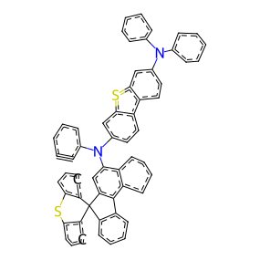 c1cccc(N(c2ccc3c(c2)sc2cc(N(c4ccccc4)c4ccccc4)ccc23)c2cc3c(c4ccccc24)-c2ccccc2C32c3ccccc3Sc3ccccc32)c#1